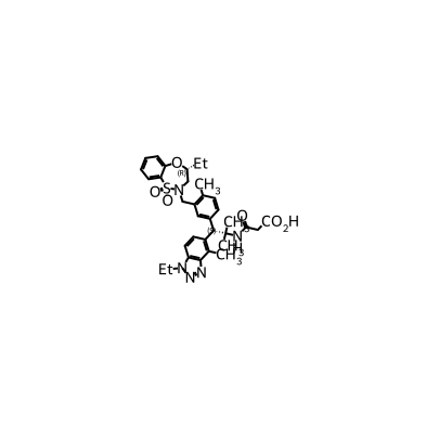 CC[C@@H]1CN(Cc2cc([C@@H](c3ccc4c(nnn4CC)c3C)C(C)(C)NC(=O)CC(=O)O)ccc2C)S(=O)(=O)c2ccccc2O1